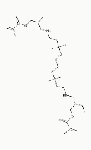 C=C(C)C(=O)OCC(C)CNCCC(C)(C)OCCOC(C)(C)CCNCC(CC)COC(=O)C(=C)C